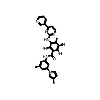 [2H]c1c([2H])c(C(=O)Nc2cc(C)cc(-n3ccc(C)c3)c2)c([2H])c(Nc2nccc(-c3cccnc3)n2)c1C